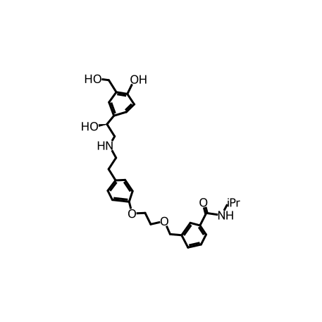 CC(C)NC(=O)c1cccc(COCCOc2ccc(CCNC[C@@H](O)c3ccc(O)c(CO)c3)cc2)c1